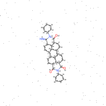 N=C1c2ccc3c4ccc5c6c(ccc(c7ccc(c2c37)C(=O)N1c1ccccc1)c64)C(=O)N(c1ccccc1)C5=O